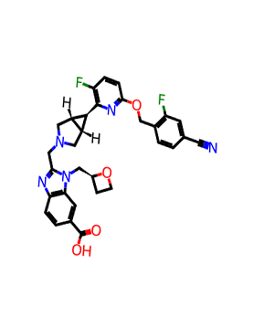 N#Cc1ccc(COc2ccc(F)c([C@H]3[C@@H]4CN(Cc5nc6ccc(C(=O)O)cc6n5C[C@@H]5CCO5)C[C@@H]43)n2)c(F)c1